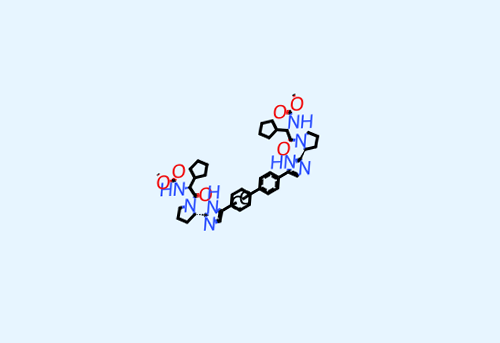 COC(=O)N[C@H](C(=O)N1CCC[C@H]1c1ncc(-c2ccc(C34CCC(c5cnc([C@@H]6CCCN6C(=O)[C@@H](NC(=O)OC)C6CCCC6)[nH]5)(CC3)CC4)cc2)[nH]1)C1CCCC1